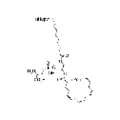 CCCCC/C=C\C/C=C\C/C=C\C/C=C\CCCC(=O)O[C@H](COC(=O)CCCCCCC/C=C\CCCCCCC)COP(=O)(O)OC[C@H](N)C(=O)O